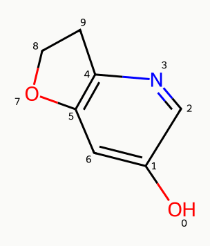 Oc1cnc2c(c1)OCC2